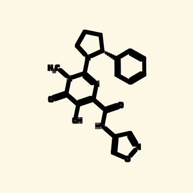 Cn1c(N2CCC[C@@H]2c2ccccc2)nc(C(=O)Nc2cnoc2)c(O)c1=O